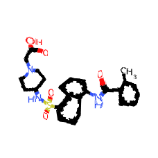 Cc1ccccc1C(=O)Nc1cccc2c(S(=O)(=O)NC3CCN(CC(=O)O)CC3)cccc12